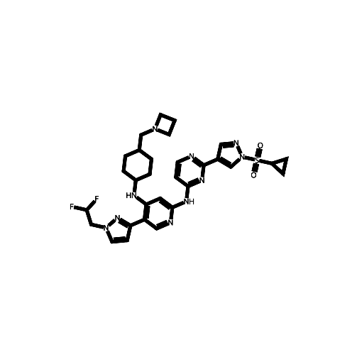 O=S(=O)(C1CC1)n1cc(-c2nccc(Nc3cc(NC4CCC(CN5CCC5)CC4)c(-c4ccn(CC(F)F)n4)cn3)n2)cn1